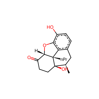 CCC[C@]12c3c4ccc(O)c3O[C@H]1C(=O)CC[C@@]2(O)[C@H](C)C4